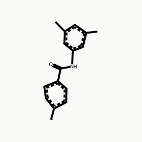 [CH2]c1ccc(C(=O)Nc2cc(C)cc(C)c2)cc1